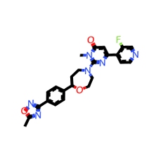 Cc1nc(-c2ccc(C3CCN(c4nc(-c5ccncc5F)cc(=O)n4C)CCO3)cc2)no1